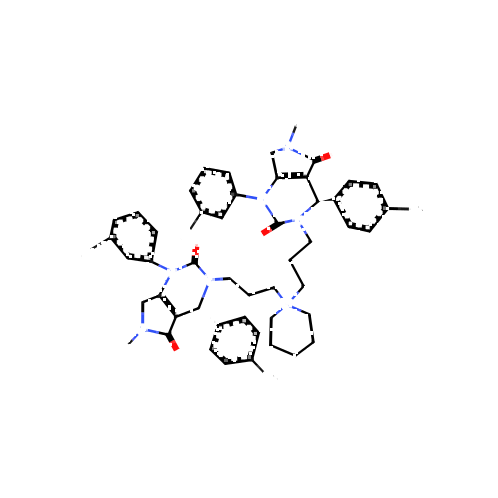 CCN1CC2=C(C1=O)[C@@H](c1ccc(C#N)cc1)N(CCC[N+]1(CCCN3C(=O)N(c4cccc(C(F)(F)F)c4)C4=C(C(=O)N(CC)C4)[C@H]3c3ccc(C#N)cc3)CCCCC1)C(=O)N2c1cccc(C(F)(F)F)c1